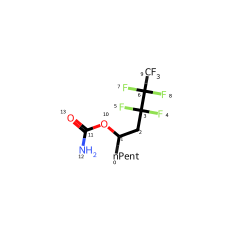 CCCCCC(CC(F)(F)C(F)(F)C(F)(F)F)OC(N)=O